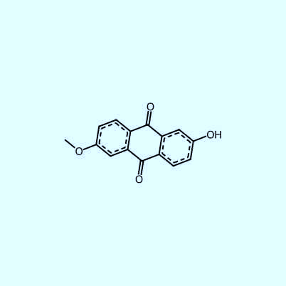 COc1ccc2c(c1)C(=O)c1ccc(O)cc1C2=O